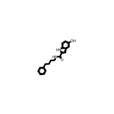 O=C(NCCCCc1ccccc1)c1cc2cc(O)ccc2[nH]1